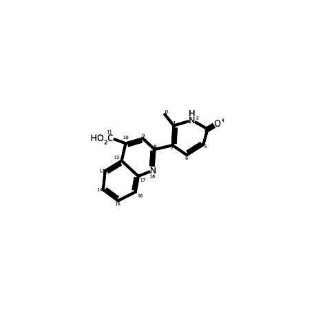 Cc1[nH]c(=O)ccc1-c1cc(C(=O)O)c2ccccc2n1